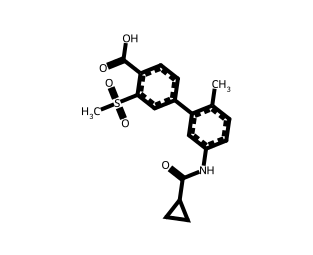 Cc1ccc(NC(=O)C2CC2)cc1-c1ccc(C(=O)O)c(S(C)(=O)=O)c1